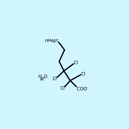 CCCCCCCCCC(Cl)(Cl)C(Cl)(Cl)C(=O)[O-].O.[K+]